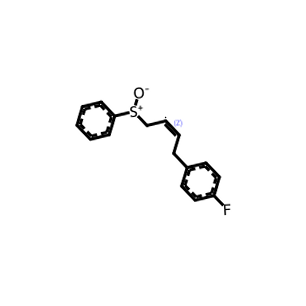 [O-][S+](C/[C]=C\Cc1ccc(F)cc1)c1ccccc1